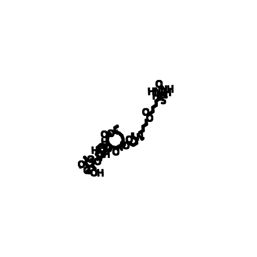 CC[C@H]1CCC[C@H](OC2CCC(N(C)CCCCCOC(=O)CCCCC3SC[C@@H]4NC(=O)N[C@H]34)C(C)O2)[C@@H](C)C(=O)C2=C[C@H]3[C@@H]4C[C@H](OC5OC(C)C(OC)C(OC)C5CO)C[C@H]4C=C[C@H]3C2CC(=O)O1